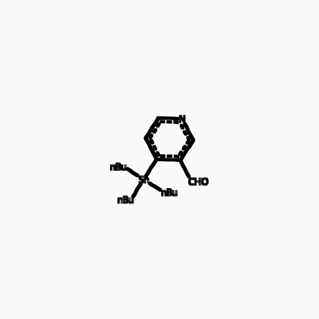 CCC[CH2][Sn]([CH2]CCC)([CH2]CCC)[c]1ccncc1C=O